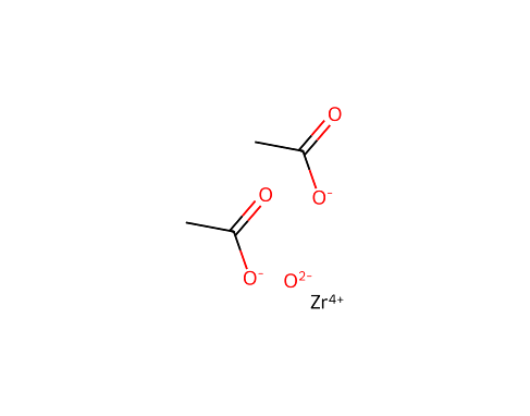 CC(=O)[O-].CC(=O)[O-].[O-2].[Zr+4]